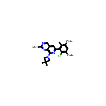 COc1cc(OC)c(Cl)c(-c2cc3cnc(SC)nc3c(N3CC(C)(C)C3)n2)c1C